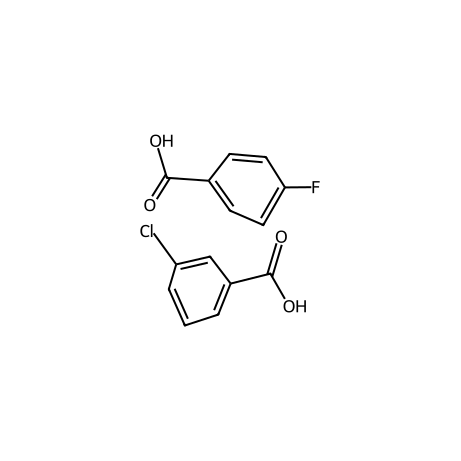 O=C(O)c1ccc(F)cc1.O=C(O)c1cccc(Cl)c1